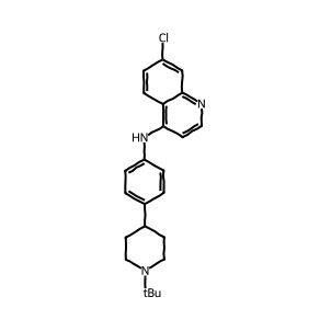 CC(C)(C)N1CCC(c2ccc(Nc3ccnc4cc(Cl)ccc34)cc2)CC1